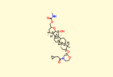 CNC(=O)OCC1C[C@@H](C)[C@H]2C(O1)[C@H](O)[C@@]1(C)C3CC[C@H]4C(C)(C)[C@@H](O[C@H]5CN(C(=O)CC6CC6)CCO5)CC[C@@]45C[C@@]35CC[C@]21C